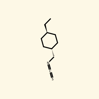 CC[C@H]1CC[C@H](CN=C=S)CC1